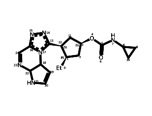 CC[C@@H]1C[C@H](OC(=O)NC2CC2)C[C@@H]1c1nnc2n1C1C=CNC1N=C2